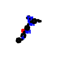 C/C=C/c1ccc2c(NCc3ccc(NC(=O)C4CCN(Cc5ccccc5)CC4)cc3)nc(N(C)C)nc2c1